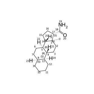 C[C@]12CC[C@H]3[C@@H](CC[C@@H]4CCCC[C@@H]43)[C@@H]1CC[C@@H]2C(N)=O